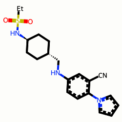 CCS(=O)(=O)N[C@H]1CC[C@H](CNc2ccc(-n3cccc3)c(C#N)c2)CC1